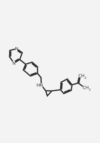 C=C(C)c1ccc(C2CC2NCc2ccc(-c3cnccn3)cc2)cc1